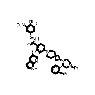 CC(C)c1ccccc1[C@H]1CN(C(C)C)CCN1C1CC2(CCN(c3ccc(C(=O)NSc4ccc(N)c([N+](=O)[O-])c4)c(Oc4cnc5[nH]ccc5c4)c3)CC2)C1